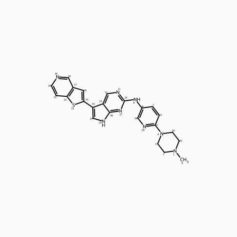 CN1CCN(c2ccc(Nc3ncc4c(-c5cc6cnccc6s5)c[nH]c4n3)cn2)CC1